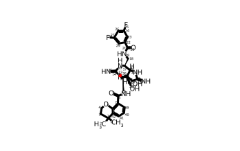 CC1(C)CCOc2c(C(=O)N[C@H]3CN4C(=N)N[C@@H](CNC(=O)c5cc(F)cc(F)c5)[C@@H]5NC(=N)N[C@@]54C3(O)O)cccc21